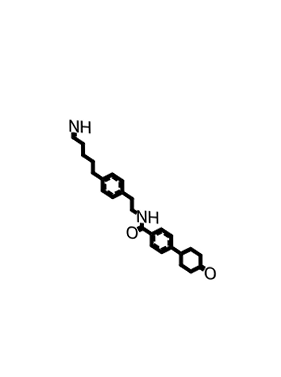 N=CCCCCc1ccc(CCNC(=O)c2ccc(C3CCC(=O)CC3)cc2)cc1